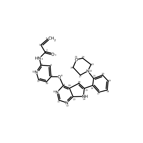 C=CC(=O)Nc1cc(Oc2ncnc3[nH]c(-c4ccccc4N4CCOCC4)cc23)ccn1